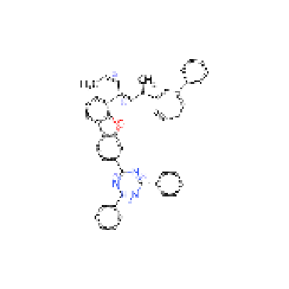 C=C(/C=C(\C=C/C)c1cccc2c1oc1cc(C(/N=C(\N)c3ccccc3)=N/Cc3ccccc3)ccc12)C1=CC(c2ccccc2)=CCC#C1